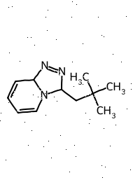 CC(C)(C)CC1N=NC2C=CC=CN21